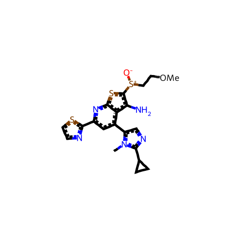 COCC[S+]([O-])c1sc2nc(-c3nccs3)cc(-c3cnc(C4CC4)n3C)c2c1N